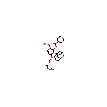 COC(C)OCOc1ccc(CO)c(OC(=O)c2ccccc2)c1C12CC3CC(CC(C3)C1)C2